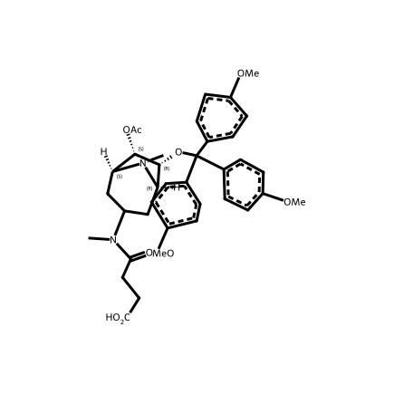 COc1ccc(C(O[C@H]2[C@@H](OC(C)=O)[C@@H]3CC(N(C)C(=O)CCC(=O)O)C[C@H]2[N+]3(C)C)(c2ccc(OC)cc2)c2ccc(OC)cc2)cc1